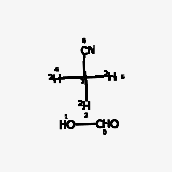 O=CO.[2H]C([2H])([2H])C#N